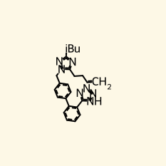 C=CCCc1nc(C(C)CC)nn1Cc1ccc(-c2ccccc2-c2nnn[nH]2)cc1